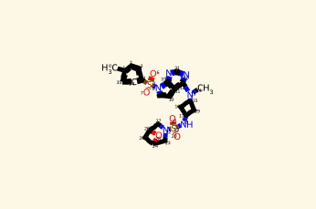 Cc1ccc(S(=O)(=O)n2ccc3c(N(C)C4CC(NS(=O)(=O)N5CC6CC(C5)O6)C4)ncnc32)cc1